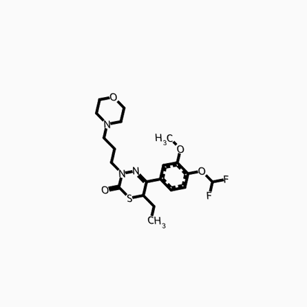 CCC1SC(=O)N(CCCN2CCOCC2)N=C1c1ccc(OC(F)F)c(OC)c1